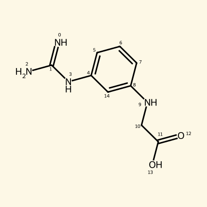 N=C(N)Nc1cccc(NCC(=O)O)c1